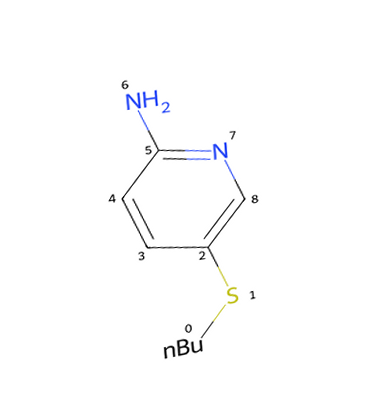 CCCCSc1ccc(N)nc1